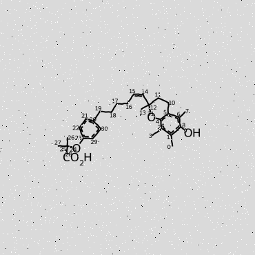 Cc1c(C)c2c(c(C)c1O)CCC(C)(/C=C\CCCCc1ccc(OC(C)(C)C(=O)O)cc1)O2